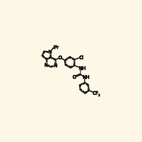 CC(C)n1ccc2ncnc(Oc3ccc(NC(=O)Nc4cccc(C(F)(F)F)c4)c(Cl)c3)c21